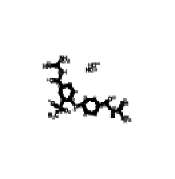 CS(=O)(=O)c1cc(C(=O)NC(=N)N)ccc1Oc1ccc(C(=O)NC(=N)N)cc1.Cl.Cl